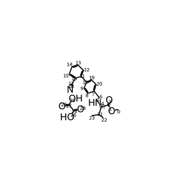 COC(=O)[C@@H](NCc1ccc(-c2ccccc2C#N)cc1)C(C)C.O=C(O)C(=O)O